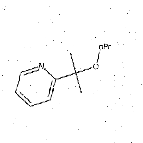 CCCOC(C)(C)c1ccccn1